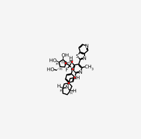 Cc1nc(NCC2C[C@H]3CC[C@@H](C2)N3c2ccc(OC(F)(F)F)cc2)nc(N[C@@H]2C[C@H](CO)[C@@H](O)[C@H]2O)c1-c1nc2cnccc2s1